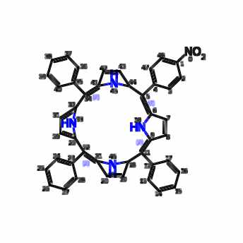 O=[N+]([O-])c1ccc(/C2=c3\cc/c([nH]3)=C(\c3ccccc3)C3C=C/C(=C(\c4ccccc4)c4ccc([nH]4)/C(c4ccccc4)=C4/C=CC2N4)N3)cc1